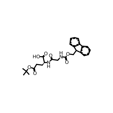 CC(C)(C)OC(=O)CC[C@H](NC(=O)CNC(=O)OCC1c2ccccc2-c2ccccc21)C(=O)O